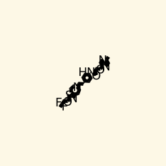 Cc1cnc(OCC(=O)N[C@H]2CC[C@H](CCN3CCc4nc(OCC(C)(F)F)sc4CC3)CC2)cn1